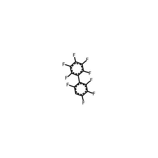 Fc1cc(F)c(-c2c(F)c(F)c(F)c(F)c2F)c(F)c1F